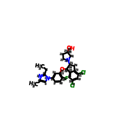 CCc1nc(C)cn1-c1ccc(F)c(O[C@@H]2c3cc(Cl)cc(Cl)c3C[C@@H]2N2CC[C@@H](O)C2)c1